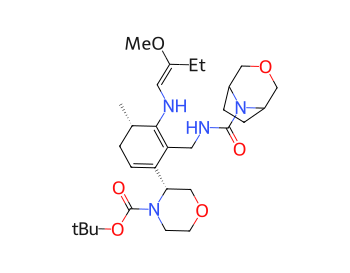 CC/C(=C\NC1=C(CNC(=O)N2C3CCC2COC3)C([C@@H]2COCCN2C(=O)OC(C)(C)C)=CC[C@@H]1C)OC